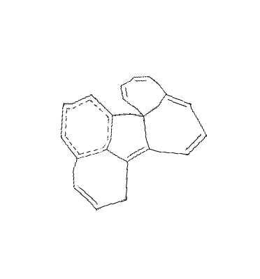 C1=CC2=CC=CC3=C4CC=Cc5cccc(c54)C23C=C1